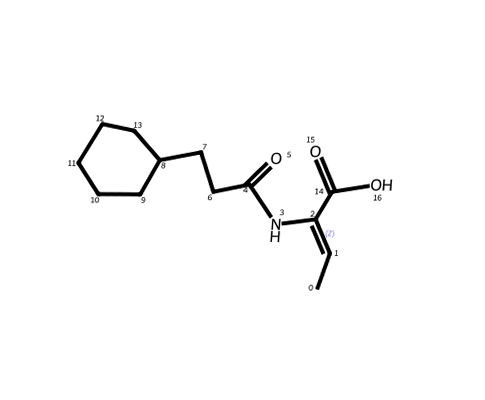 C/C=C(\NC(=O)CCC1CCCCC1)C(=O)O